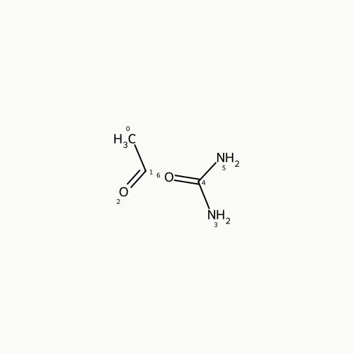 CC=O.NC(N)=O